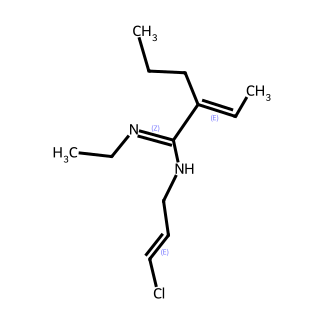 C/C=C(CCC)/C(=N/CC)NC/C=C/Cl